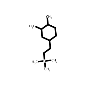 CC1CCC(CC[Si](C)(C)C)CC1C